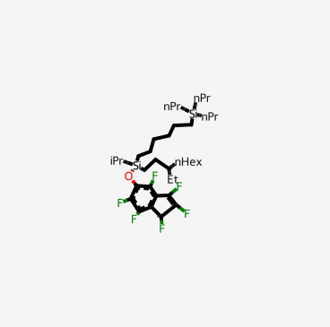 CCCCCCC(CC)CC[Si](CCCCCC[Si](CCC)(CCC)CCC)(Oc1c(F)c(F)c2c(c1F)C(F)=C(F)[C]2F)C(C)C